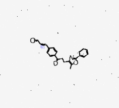 Cc1oc(-c2ccccc2)nc1CCC(=O)c1ccc(/C=C/C=O)cc1